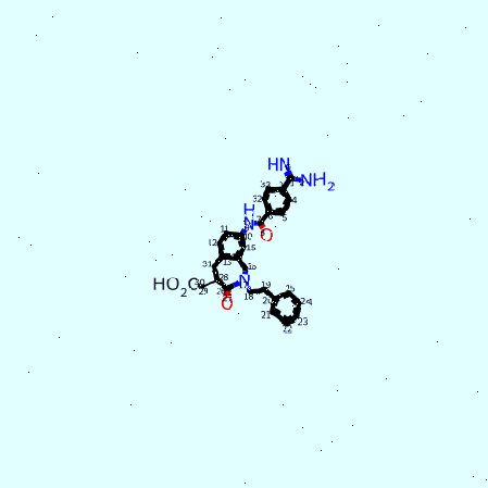 N=C(N)c1ccc(C(=O)Nc2ccc3c(c2)CN(CCc2ccccc2)C(=O)[C@@H](CC(=O)O)C3)cc1